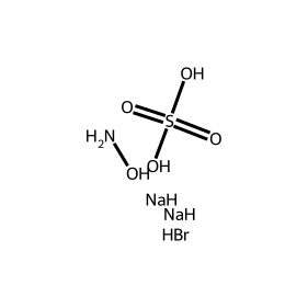 Br.NO.O=S(=O)(O)O.[NaH].[NaH]